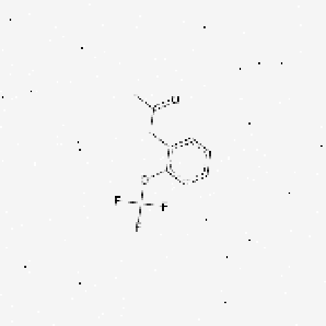 CC(=O)Cc1ccccc1OC(F)(F)F